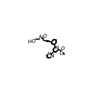 CCOC(=O)c1cc(-c2ncccn2)cc(-c2cccc(C#CCC(=O)N(C)CCO)c2)n1